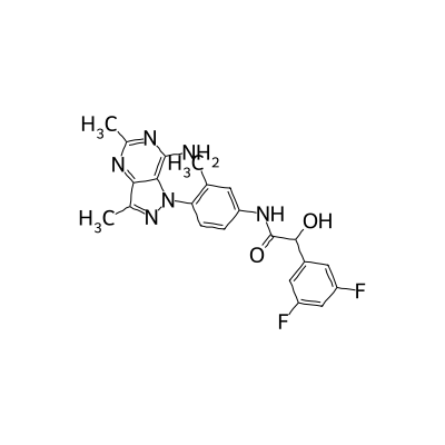 Cc1nc(N)c2c(n1)c(C)nn2-c1ccc(NC(=O)C(O)c2cc(F)cc(F)c2)cc1C